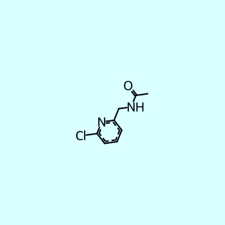 CC(=O)NCc1cccc(Cl)n1